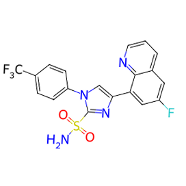 NS(=O)(=O)c1nc(-c2cc(F)cc3cccnc23)cn1-c1ccc(C(F)(F)F)cc1